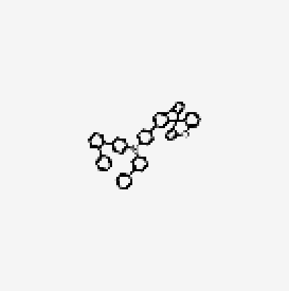 c1ccc(-c2cccc(N(c3ccc(-c4ccc5c(c4)C4(c6ccccc6Oc6ccccc64)c4ccccc4-5)cc3)c3ccc(-c4ccccc4-c4ccccc4)cc3)c2)cc1